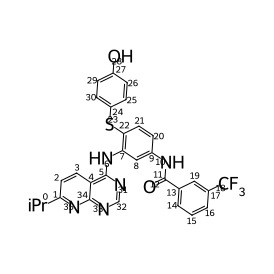 CC(C)c1ccc2c(Nc3cc(NC(=O)c4cccc(C(F)(F)F)c4)ccc3Sc3ccc(O)cc3)ncnc2n1